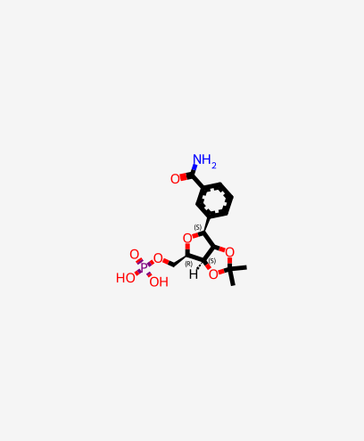 CC1(C)OC2[C@@H](O1)[C@@H](COP(=O)(O)O)O[C@H]2c1cccc(C(N)=O)c1